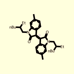 CCCCC(CC)CN1C(=O)/C(=C2/C(=O)N(CC(CC)CCCC)c3cc(C)ccc32)c2ccc(C)cc21